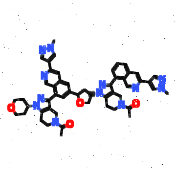 CC(=O)N1CCc2c(c(-c3cc(C4C[C@H](n5nc(-c6cccc7cc(-c8cnn(C)c8)ncc67)c6c5CCN(C(C)=O)C6)CO4)cc4cc(-c5cnn(C)c5)ncc34)nn2C2CCOCC2)C1